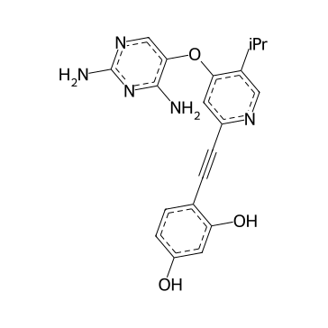 CC(C)c1cnc(C#Cc2ccc(O)cc2O)cc1Oc1cnc(N)nc1N